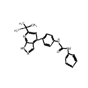 CC(C)(C)c1cc(-c2ccc(NC(=O)Nc3ccccc3)cc2)c2cn[nH]c2n1